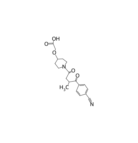 CC(CC(=O)N1CCC(OCC(=O)O)CC1)C(=O)c1ccc(C#N)cc1